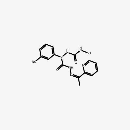 CC(=NNC(=S)N(NC(=O)NS)c1cccc(C#N)c1)c1ccccn1